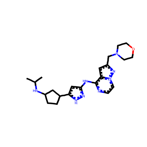 CC(C)NC1CCC(c2cc(Nc3nccn4nc(CN5CCOCC5)cc34)n[nH]2)C1